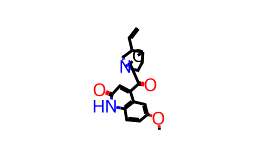 C=CC1CN2CCC1CC2C(=O)c1cc(=O)[nH]c2ccc(OC)cc12